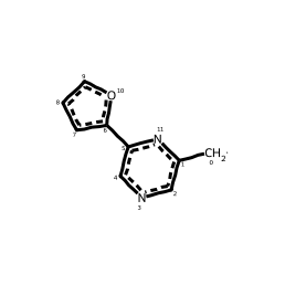 [CH2]c1cncc(-c2ccco2)n1